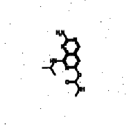 CNC(=O)Oc1cc2cnc(N)nc2c(NC(C)C)n1